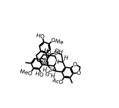 COc1cc2c(cc1O)CCN[C@]21C[S+]([O-])[C@@H]2c3c(OC(C)=O)c(C)c4c(c3[C@H](COC1=O)N1C2[C@H]2c3c(cc(C)c(OC)c3O)C[C@@H]([C@@H]1O)N2C)OCO4